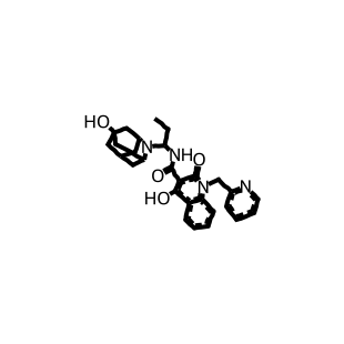 CCC(NC(=O)c1c(O)c2ccccc2n(Cc2ccccn2)c1=O)N1C2CC3CC1CC(O)(C3)C2